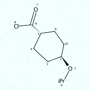 CC(C)O[C@H]1CC[C@H](C(=O)Cl)CC1